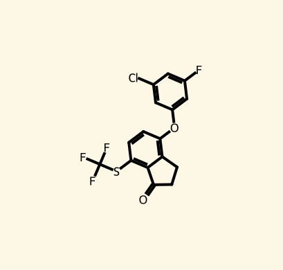 O=C1CCc2c(Oc3cc(F)cc(Cl)c3)ccc(SC(F)(F)F)c21